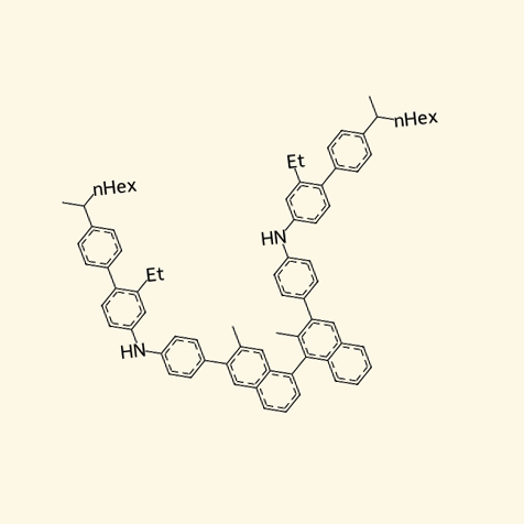 CCCCCCC(C)c1ccc(-c2ccc(Nc3ccc(-c4cc5cccc(-c6c(C)c(-c7ccc(Nc8ccc(-c9ccc(C(C)CCCCCC)cc9)c(CC)c8)cc7)cc7ccccc67)c5cc4C)cc3)cc2CC)cc1